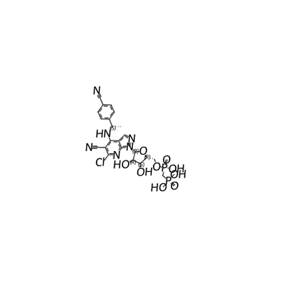 C[C@H](Nc1c(C#N)c(Cl)nc2c1cnn2[C@@H]1O[C@H](COP(=O)(O)CP(=O)(O)O)[C@@H](O)[C@H]1O)c1ccc(C#N)cc1